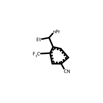 CCCC(CC)c1ccc(C#N)cc1C(F)(F)F